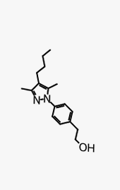 CCCCc1c(C)nn(-c2ccc(CCO)cc2)c1C